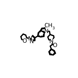 Cc1cc2cc(-c3cnn(C4CCCCO4)c3)ccc2n1CC1CCN(C(=O)Cc2ccccc2)CC1